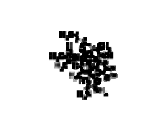 CCCCCC[C@@H](OC(=O)CNC(=O)[C@@H](C)[C@H](C)O)[C@@H](C)C(O)N(C)[C@@H](CC1CCCC1)C(=O)N[C@H](C(=O)N[C@@H](CN)C(N)=O)[C@H](C)CC